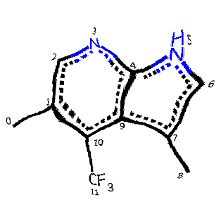 Cc1cnc2[nH]cc(C)c2c1C(F)(F)F